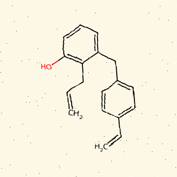 C=CCc1c(O)cccc1Cc1ccc(C=C)cc1